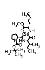 CC[C@H](C)[C@H](NC(=O)[C@@H]1CCCN1C(=O)OC(C)(C)C)C(=O)[Se]N[C@@H](CCSC)C(=O)OC